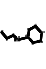 CCCNN1CCSCC1